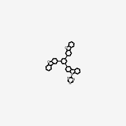 c1ccc2c(c1)oc1cc(-c3cc(-c4ccc5oc6ccccc6c5c4)cc(-c4ccc5c(c4)c4ccccc4n5-c4ncncn4)c3)ccc12